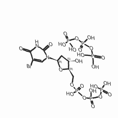 O=P(O)(O)OP(=O)(O)OP(=O)(O)O.O=c1[nH]c(=O)n([C@H]2C[C@H](O)[C@@H](COP(=O)(O)OP(=O)(O)OP(=O)(O)O)O2)cc1Br